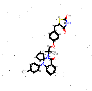 Cc1ccc(N2c3ccccc3C(=O)N(C(C)(C)COc3ccc(CC4SC(=O)NC4=O)cc3)C23CCCC3)cc1